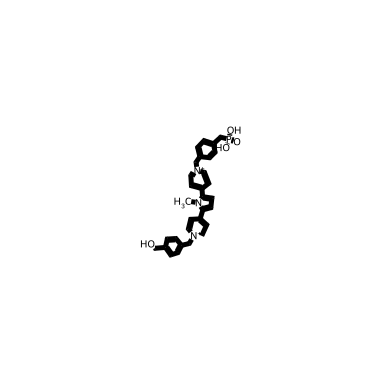 Cn1c(-c2cc[n+](Cc3ccc(CO)cc3)cc2)ccc1-c1cc[n+](Cc2ccc(CP(=O)(O)O)cc2)cc1